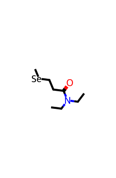 CCN(CC)C(=O)CC[Se]C